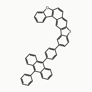 c1ccc(-c2c3ccccc3c(-c3ccc(-c4ccc5sc6cc7ccc8oc9ccccc9c8c7cc6c5c4)cc3)c3ccccc23)cc1